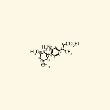 CCOC(=O)CC(c1ccc(N2CC(C)CC(C)C2)c(N)c1)C(F)(F)F